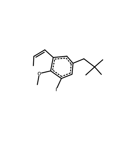 C/C=C\c1cc(CC(C)(C)C)cc(I)c1OC